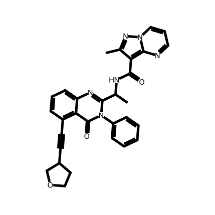 Cc1nn2cccnc2c1C(=O)NC(C)c1nc2cccc(C#CC3CCOC3)c2c(=O)n1-c1ccccc1